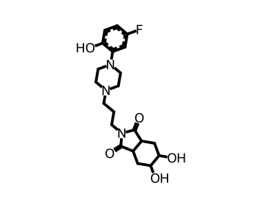 O=C1C2CC(O)C(O)CC2C(=O)N1CCCN1CCN(c2cc(F)ccc2O)CC1